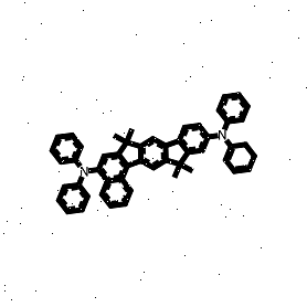 CC1(C)c2cc(N(C3=CC=CCC3)c3ccccc3)ccc2-c2cc3c(cc21)-c1c(cc(N(c2ccccc2)c2ccccc2)c2ccccc12)C3(C)C